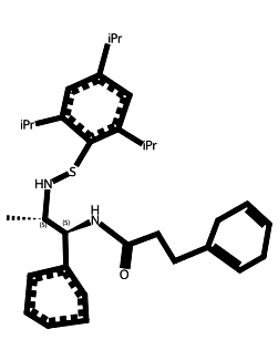 CC(C)c1cc(C(C)C)c(SN[C@@H](C)[C@@H](NC(=O)CCC2=CCC=CC2)c2ccccc2)c(C(C)C)c1